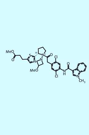 COC(=O)CCc1cnc([C@@H]2CCC[N+]2(C(=O)Cc2cc(Cl)c(NC(=O)c3cn(C)c4ccccc34)cc2Cl)N2CC(OC)C2)s1